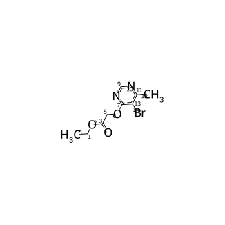 CCOC(=O)COc1ncnc(C)c1Br